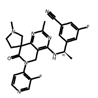 Cc1nc(N[C@H](C)c2cc(F)cc(C#N)c2)c2c(n1)C1(CCN(C)C1)C(=O)N(c1ccncc1F)C2